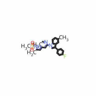 C=C(/C=C/C=C(\N=C/C)n1cc(-c2ccc(F)cc2)c2cc(C)ccc21)NS(C)(=O)=O